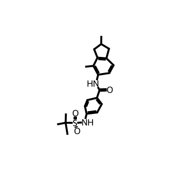 Cc1c(NC(=O)c2ccc(NS(=O)(=O)C(C)(C)C)cc2)ccc2c1CC(C)C2